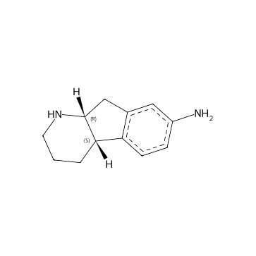 Nc1ccc2c(c1)C[C@H]1NCCC[C@@H]21